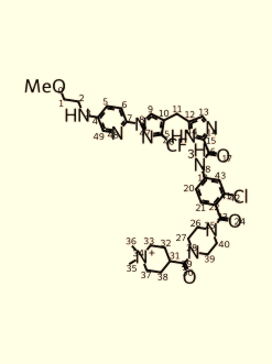 COCCNc1ccc(-n2cc(Cc3cnc(C(=O)Nc4ccc(C(=O)N5CCN(C(=O)C6CC[N+](C)(C)CC6)CC5)c(Cl)c4)[nH]3)c(C(F)(F)F)n2)nc1